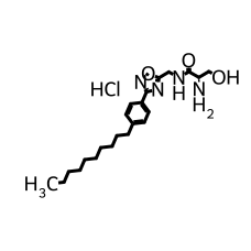 CCCCCCCCCCc1ccc(-c2noc(CNC(=O)[C@@H](N)CO)n2)cc1.Cl